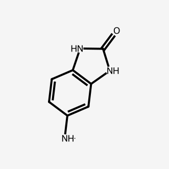 [NH]c1ccc2[nH]c(=O)[nH]c2c1